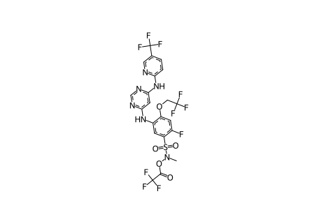 CN(OC(=O)C(F)(F)F)S(=O)(=O)c1cc(Nc2cc(Nc3ccc(C(F)(F)F)cn3)ncn2)c(OCC(F)(F)F)cc1F